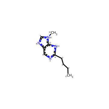 CCCCc1n[c]c2ncn(C)c2n1